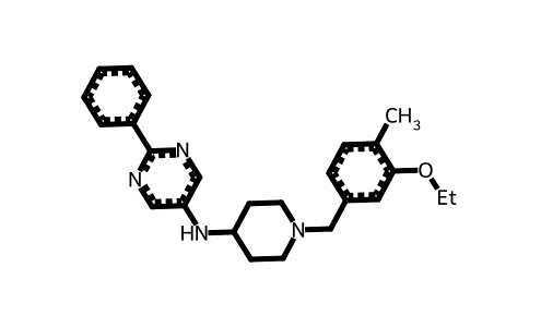 CCOc1cc(CN2CCC(Nc3cnc(-c4ccccc4)nc3)CC2)ccc1C